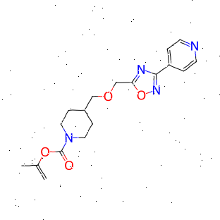 C=C(C)OC(=O)N1CCC(COCc2nc(-c3ccncc3)no2)CC1